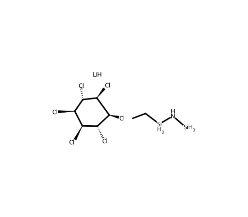 CC[SiH2]N[SiH3].Cl[C@H]1[C@H](Cl)[C@@H](Cl)[C@@H](Cl)[C@H](Cl)[C@H]1Cl.[LiH]